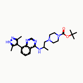 Cc1n[nH]c(C)c1-c1cccc2c(NC(C)CN3CCN(C(=O)OC(C)(C)C)CC3)ncnc12